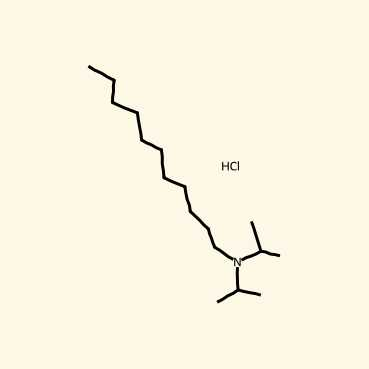 CCCCCCCCCCCN(C(C)C)C(C)C.Cl